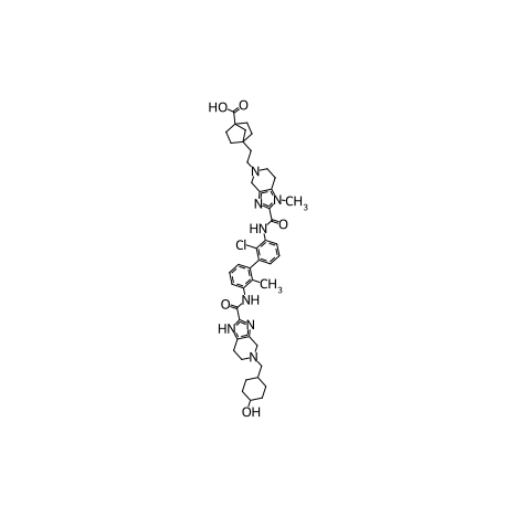 Cc1c(NC(=O)c2nc3c([nH]2)CCN(CC2CCC(O)CC2)C3)cccc1-c1cccc(NC(=O)c2nc3c(n2C)CCN(CCC24CCC(C(=O)O)(CC2)C4)C3)c1Cl